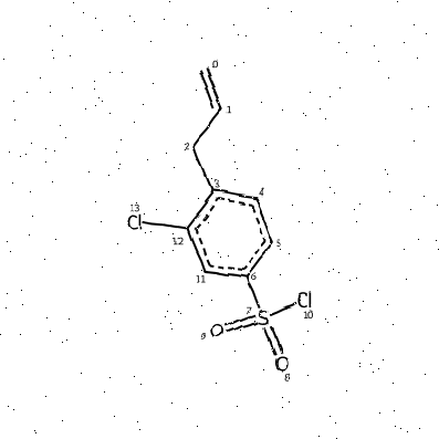 C=CCc1ccc(S(=O)(=O)Cl)cc1Cl